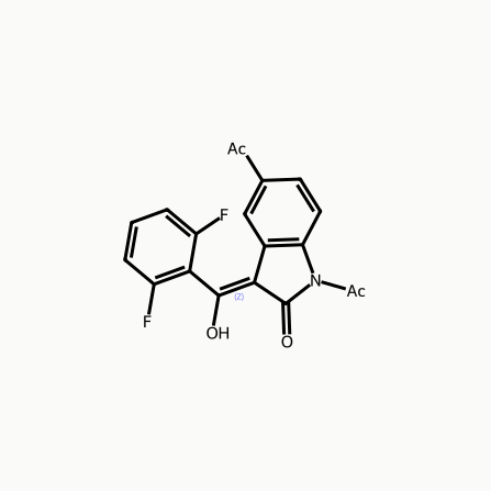 CC(=O)c1ccc2c(c1)/C(=C(/O)c1c(F)cccc1F)C(=O)N2C(C)=O